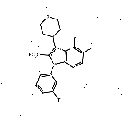 Cc1ccc2c(c1Cl)c(N1CCOCC1)c(C(=O)O)n2-c1cccc(F)c1